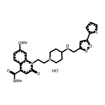 CNC(=O)c1cc(=O)n(CCN2CCC(NCc3cc(-c4cccs4)on3)CC2)c2cc(OC)ccc12.Cl